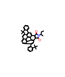 CCC(C)n1c(=O)c2c3cc(-c4ccccc4C(C)(C)C)c4ccc5ccc6c(-c7ccccc7C(C)(C)C)cc(c2c1=O)c1c6c5c4c31